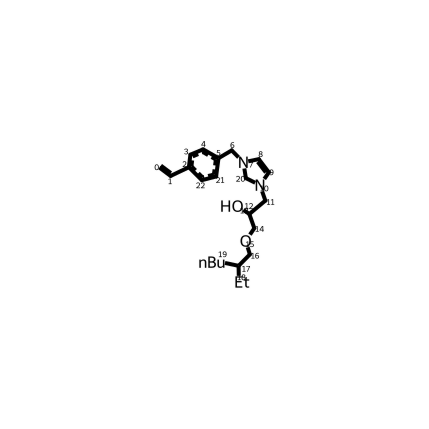 C=Cc1ccc(CN2C=CN(CC(O)COCC(CC)CCCC)C2)cc1